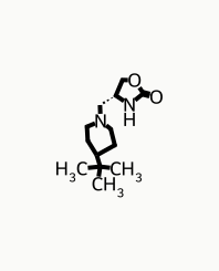 CC(C)(C)C1CCN(C[C@@H]2COC(=O)N2)CC1